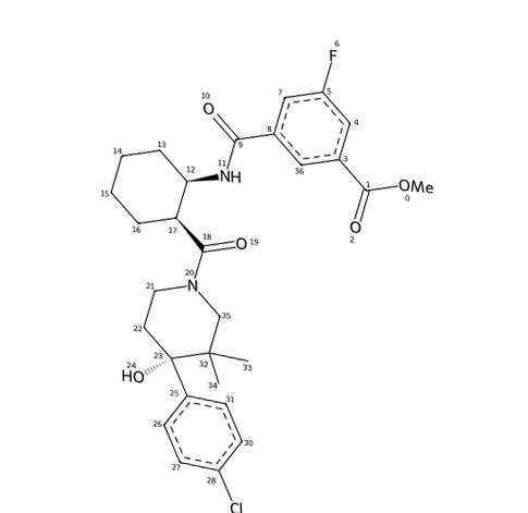 COC(=O)c1cc(F)cc(C(=O)N[C@@H]2CCCC[C@@H]2C(=O)N2CC[C@](O)(c3ccc(Cl)cc3)C(C)(C)C2)c1